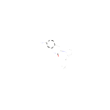 CC(C)(C)[Si](C)(C)OC[C@@H]1CCCN1C1Cc2ccc(N)cc2NC1=O